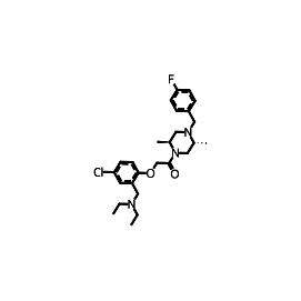 CCN(CC)Cc1cc(Cl)ccc1OCC(=O)N1C[C@@H](C)N(Cc2ccc(F)cc2)C[C@@H]1C